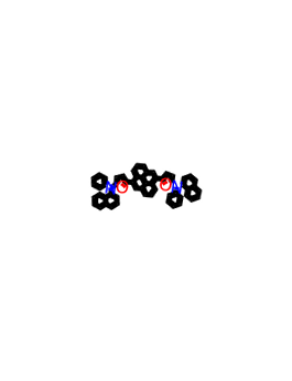 c1ccc(N(c2ccc(-c3cc4cccc5c(-c6ccc(N(c7ccccc7)c7cccc8ccccc78)o6)cc6cccc3c6c45)o2)c2cccc3ccccc23)cc1